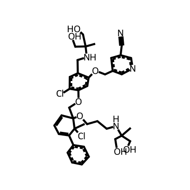 CC(CO)(CO)NCCCOC1(COc2cc(OCc3cncc(C#N)c3)c(CNC(C)(CO)CO)cc2Cl)C=CC=C(c2ccccc2)C1(C)Cl